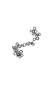 COc1cc(N2CCC(N3CCN(C(=O)CCOc4cccc5c4CN(C4CCC(=O)NC4=O)C5=O)CC3)CC2)ccc1Nc1ncc(Cl)c(Nc2ccccc2P(=O)(OC)OC)n1